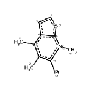 Cc1c(C)c2ccoc2[n+](C)c1C(C)C